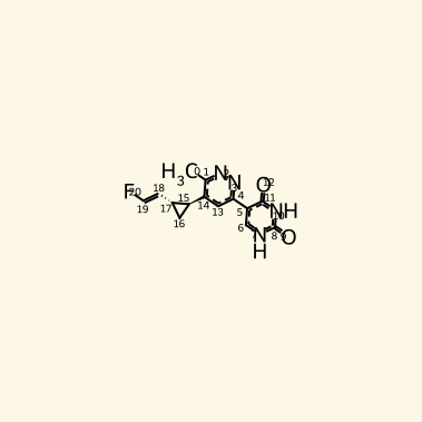 Cc1nnc(-c2c[nH]c(=O)[nH]c2=O)cc1[C@H]1C[C@@H]1/C=C/F